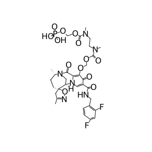 CC1=NO[C@@]2(CC[C@H](C)N3C[C@H]2n2cc(C(=O)NCc4ccc(F)cc4F)c(=O)c(OCOC(=O)N(C)CCN(C)C(=O)OCOP(=O)(O)O)c2C3=O)C1